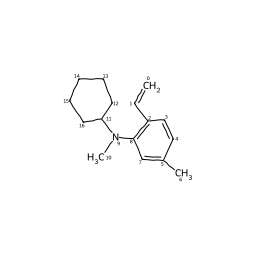 C=Cc1ccc(C)cc1N(C)C1CCCCC1